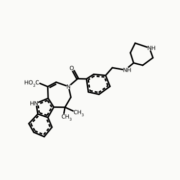 CC1(C)CN(C(=O)c2cccc(CNC3CCNCC3)c2)C=C(C(=O)O)c2[nH]c3ccccc3c21